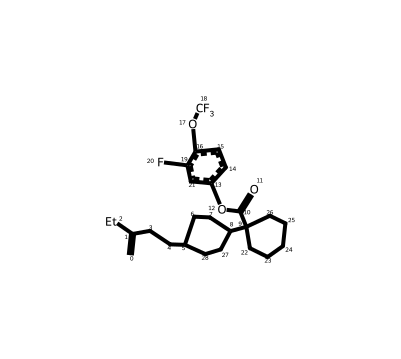 C=C(CC)CCC1CCC(C2(C(=O)Oc3ccc(OC(F)(F)F)c(F)c3)CCCCC2)CC1